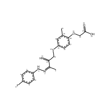 C/C(=N/Nc1ccc(F)cc1)C(=N)CSc1ccc(OCC(=O)O)c(C)c1